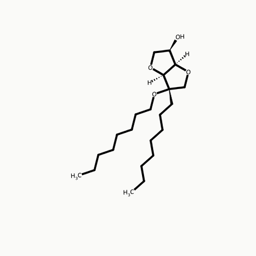 CCCCCCCCO[C@@]1(CCCCCCCC)CO[C@@H]2[C@H](O)CO[C@@H]21